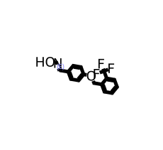 O/N=C/c1ccc(OCc2ccccc2C(F)(F)F)cc1